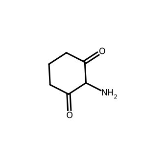 NC1C(=O)CCCC1=O